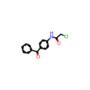 O=C(CCl)Nc1ccc(C(=O)c2ccccc2)cc1